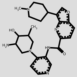 CC1CN(c2ccncc2NC(=O)c2ccc3occ(C4CCN(C)CC4)c3n2)CC(N)C1O